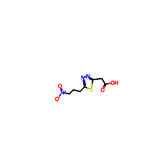 O=C(O)Cc1nnc(CCC[N+](=O)[O-])s1